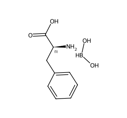 N[C@@H](Cc1ccccc1)C(=O)O.OBO